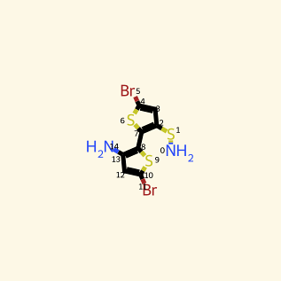 NSc1cc(Br)sc1-c1sc(Br)cc1N